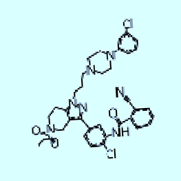 CS(=O)(=O)N1CCc2c(c(-c3ccc(Cl)c(NC(=O)c4ccccc4C#N)c3)nn2CCCN2CCN(c3cccc(Cl)c3)CC2)C1